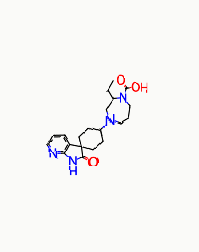 CCC1CN(C2CCC3(CC2)C(=O)Nc2ncccc23)CCCN1C(=O)O